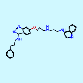 C1=Nc2cc(OCCCNCCCNc3ccnc4ccccc34)ccc2C(NCCCc2ccccc2)N1